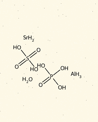 O.O=P(O)(O)O.O=S(=O)(O)O.[AlH3].[SrH2]